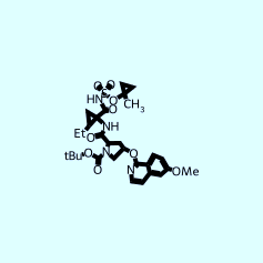 CCC1CC1(NC(=O)C1CC(Oc2nccc3cc(OC)ccc23)CN1C(=O)OC(C)(C)C)C(=O)NS(=O)(=O)OC1(C)CC1